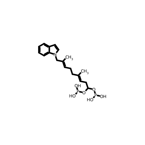 C/C(=C\CC(OP(O)O)OP(O)O)CC/C=C(\C)Cn1ccc2ccccc21